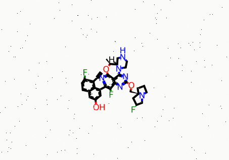 C#Cc1c(F)ccc2cc(O)cc(-c3nc4c5c(nc(OC[C@@]67CCCN6C[C@H](F)C7)nc5c3F)N3CCNC[C@H]3[C@H](C)O4)c12